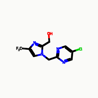 OCc1nc(C(F)(F)F)cn1Cc1ncc(Cl)cn1